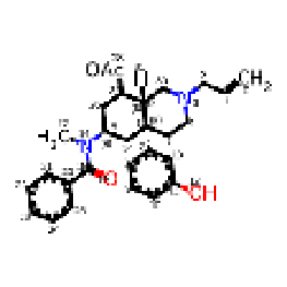 C=CCN1CC[C@@]2(c3cccc(O)c3)C[C@@H](N(C)C(=O)c3ccccc3)CC(OC(C)=O)[C@@H]2C1